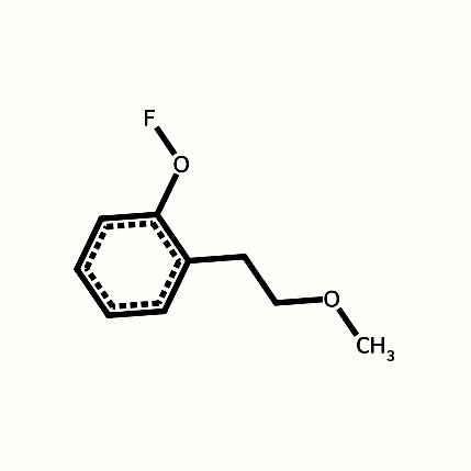 COCCc1ccccc1OF